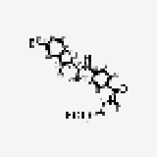 CCOC(=O)CCN(C)C(=O)c1ccc(NC(c2oc3ccc(Br)cc3c2C)C(C)C)cc1